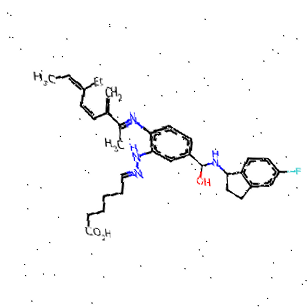 C=C(/C=C\C(=C/C)CC)/C(C)=N/c1ccc(C(O)NC2CCc3cc(F)ccc32)cc1NN=CCCCCC(=O)O